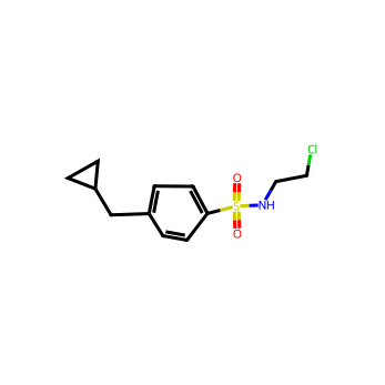 O=S(=O)(NCCCl)c1ccc(CC2CC2)cc1